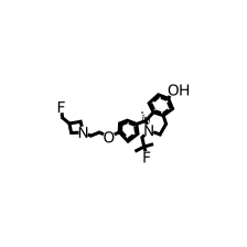 CC(C)(F)CN1CCc2cc(O)ccc2[C@]1(C)c1ccc(OCCN2CC(CF)C2)cc1